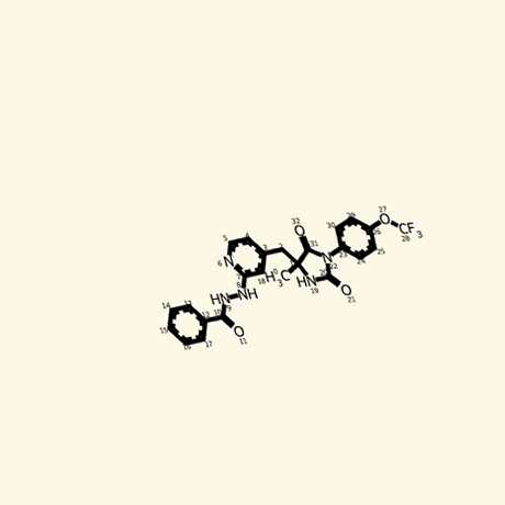 CC1(Cc2ccnc(NNC(=O)c3ccccc3)c2)NC(=O)N(c2ccc(OC(F)(F)F)cc2)C1=O